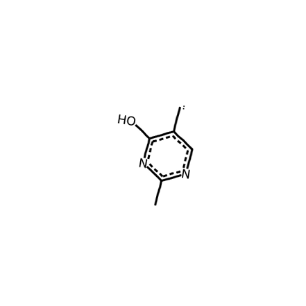 [CH]c1cnc(C)nc1O